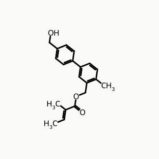 C/C=C(\C)C(=O)OCc1cc(-c2ccc(CO)cc2)ccc1C